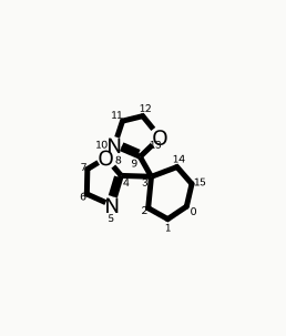 C1CCC(C2=NCCO2)(C2=NCCO2)CC1